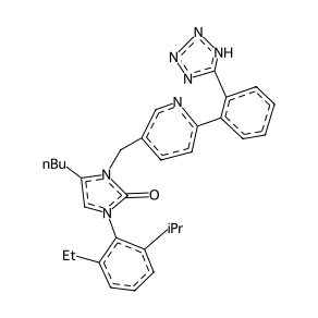 CCCCc1cn(-c2c(CC)cccc2C(C)C)c(=O)n1Cc1ccc(-c2ccccc2-c2nnn[nH]2)nc1